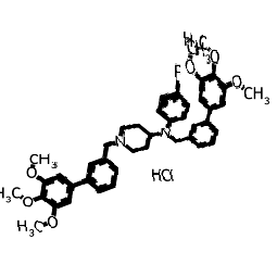 COc1cc(-c2cccc(CN3CCC(N(Cc4cccc(-c5cc(OC)c(OC)c(OC)c5)c4)c4ccc(F)cc4)CC3)c2)cc(OC)c1OC.Cl